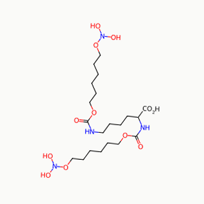 O=C(NCCCCC(NC(=O)OCCCCCCON(O)O)C(=O)O)OCCCCCCON(O)O